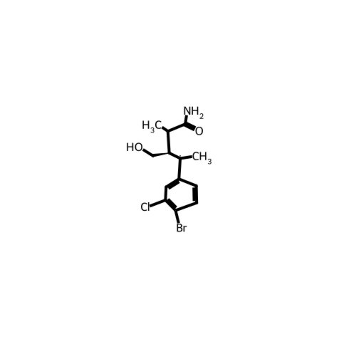 C[C](c1ccc(Br)c(Cl)c1)[C@@H](CO)C(C)C(N)=O